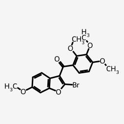 COc1ccc2c(C(=O)c3ccc(OC)c(OC)c3OC)c(Br)oc2c1